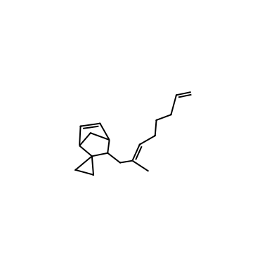 C=CCCCC=C(C)CC1C2C=CC(C2)C12CC2